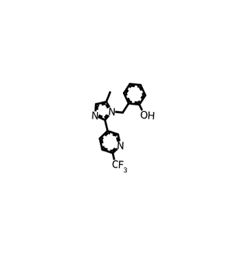 Cc1cnc(-c2ccc(C(F)(F)F)nc2)n1Cc1ccccc1O